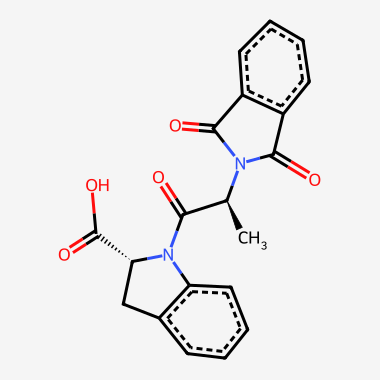 C[C@@H](C(=O)N1c2ccccc2C[C@@H]1C(=O)O)N1C(=O)c2ccccc2C1=O